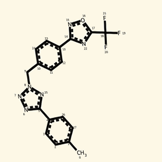 Cc1ccc(-c2nnn(Cc3ccc(-c4noc(C(F)(F)F)n4)cc3)n2)cc1